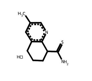 Cc1cnc2c(c1)CCCC2C(N)=S.Cl